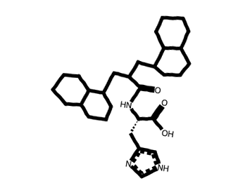 O=C(N[C@@H](Cc1c[nH]cn1)C(=O)O)C(CC1CCCC2CCCCC21)CC1CCCC2CCCCC21